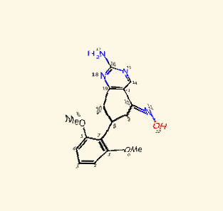 COc1cccc(OC)c1C1CC(=NO)c2cnc(N)nc2C1